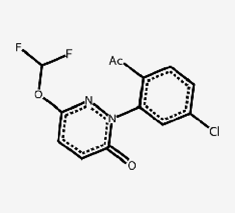 CC(=O)c1ccc(Cl)cc1-n1nc(OC(F)F)ccc1=O